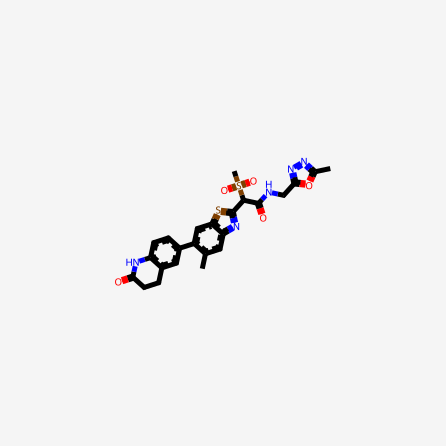 Cc1nnc(CNC(=O)C(c2nc3cc(C)c(-c4ccc5c(c4)CCC(=O)N5)cc3s2)S(C)(=O)=O)o1